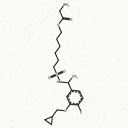 CC(NS(=O)(=O)CCCCCCOC(=O)CN)c1ccc(F)c(OCC2CC2)c1